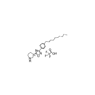 CCCCCCCCCCc1ccc(-c2noc([C@@H]3CCCNC3)n2)cc1.O=C(O)C(F)(F)F